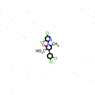 Cc1cc(-c2ccc(Cl)c(Cl)c2)c(C(=O)O)c(=O)n1-c1ncc(Cl)cc1Cl